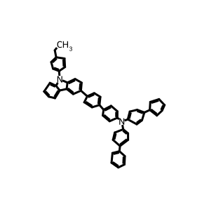 CCc1ccc(-n2c3ccccc3c3cc(-c4ccc(-c5ccc(N(c6ccc(-c7ccccc7)cc6)c6ccc(-c7ccccc7)cc6)cc5)cc4)ccc32)cc1